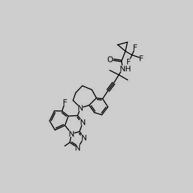 Cc1nnc2nc(N3CCCCc4c(C#CC(C)(C)NC(=O)C5(C(F)(F)F)CC5)cccc43)c3c(F)cccc3n12